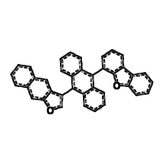 c1ccc2cc3c(-c4c5ccccc5c(-c5cccc6c5oc5ccccc56)c5ccccc45)coc3cc2c1